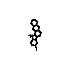 Cn1c2ccc(I)cc2c2ccc3cc4ccccc4cc3c21